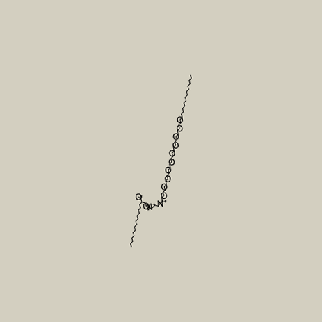 CCCCCCCCCCCCCCCCOCCOCCOCCOCCOCCOCCOCCOCCOCCOCC[N+](C)(C)CCC[N+](C)(C)OCC(CCCCCCCCCCCCCCCC)C1CO1